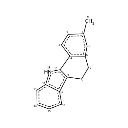 Cc1ccc2c(c1)CCc1c-2[nH]c2ccccc12